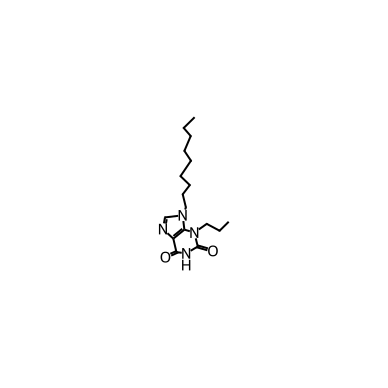 CCCCCCCCCn1cnc2c(=O)[nH]c(=O)n(CCC)c21